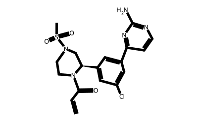 C=CC(=O)N1CCN(S(C)(=O)=O)C[C@H]1c1cc(Cl)cc(-c2ccnc(N)n2)c1